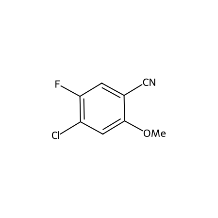 COc1cc(Cl)c(F)cc1C#N